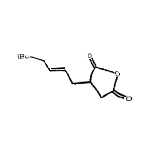 CCC(C)CC=CCC1CC(=O)OC1=O